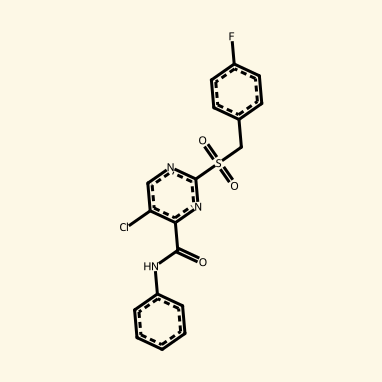 O=C(Nc1ccccc1)c1nc(S(=O)(=O)Cc2ccc(F)cc2)ncc1Cl